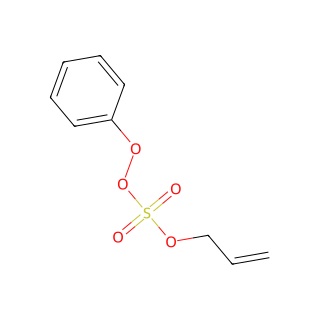 C=CCOS(=O)(=O)OOc1ccccc1